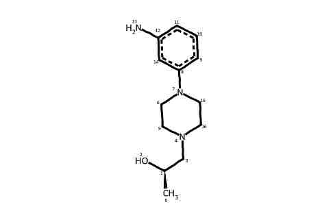 C[C@@H](O)CN1CCN(c2cccc(N)c2)CC1